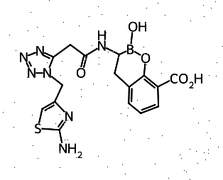 Nc1nc(Cn2nnnc2CC(=O)NC2Cc3cccc(C(=O)O)c3OB2O)cs1